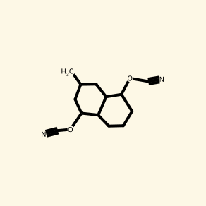 CC1CC(OC#N)C2CCCC(OC#N)C2C1